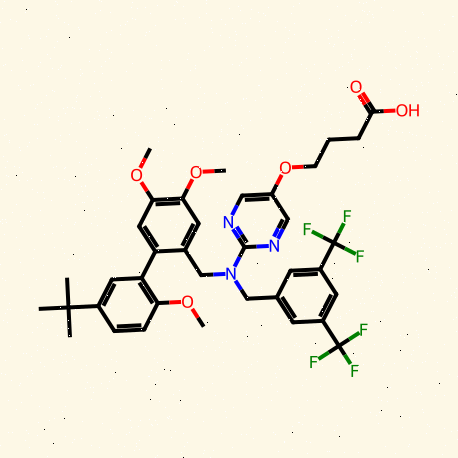 COc1cc(CN(Cc2cc(C(F)(F)F)cc(C(F)(F)F)c2)c2ncc(OCCCC(=O)O)cn2)c(-c2cc(C(C)(C)C)ccc2OC)cc1OC